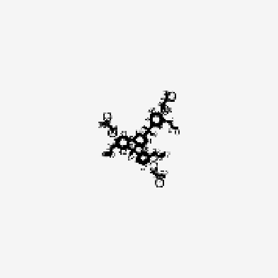 C=CCc1cc(C(C)(C)c2ccc(C(C)(c3ccc(OCC4CO4)c(CC=C)c3)c3ccc(OCC4CO4)c(CC=C)c3)cc2)ccc1OCC1CO1